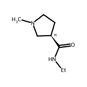 CCNC(=O)[C@@H]1CCN(C)C1